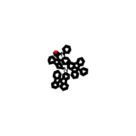 c1ccc(N2c3ccccc3C3(c4ccccc4-c4ccc(N(c5ccc6c(c5)C(c5ccccc5)(c5ccccc5)c5ccccc5-6)c5ccc6c(c5)C5(c7ccccc7-c7ccccc75)c5ccccc5-6)cc43)c3ccccc32)cc1